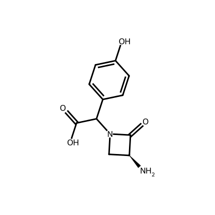 N[C@H]1CN(C(C(=O)O)c2ccc(O)cc2)C1=O